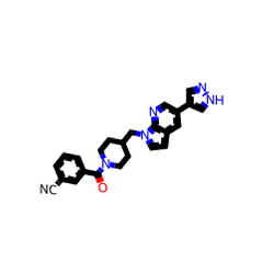 N#Cc1cccc(C(=O)N2CCC(Cn3ccc4cc(-c5cn[nH]c5)cnc43)CC2)c1